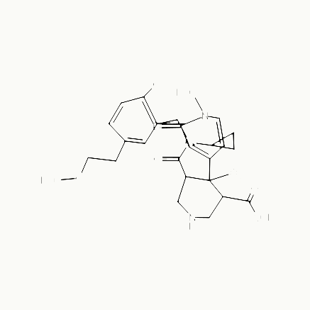 COCCc1ccc(Cl)c(C[As](C(=O)C2CNCC(C(=O)O)C2(OC)c2ccn(C)c(=O)c2)C2CC2)c1